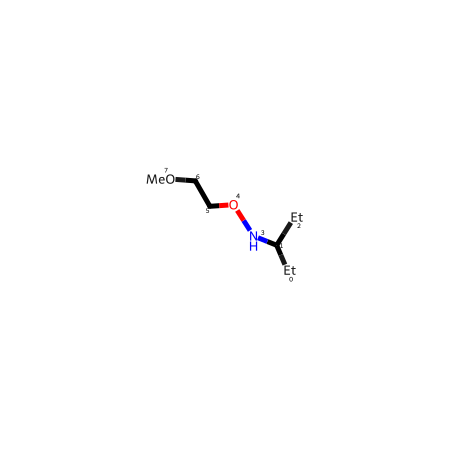 CCC(CC)NOCCOC